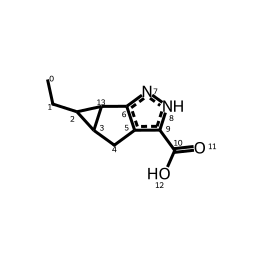 CCC1C2Cc3c(n[nH]c3C(=O)O)C12